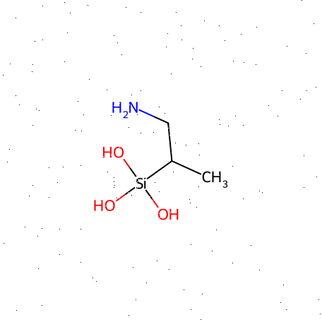 CC(CN)[Si](O)(O)O